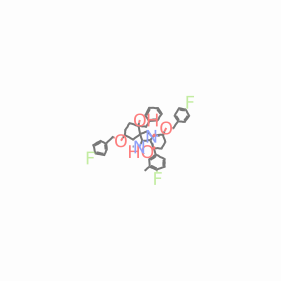 Cc1cc(C2(O)CCC(OCc3ccc(F)cc3)CC2C(N(C)C)C2(CN(C)C)CC(OCc3ccc(F)cc3)CCC2(O)Cc2ccccc2)ccc1F